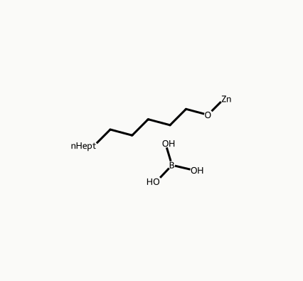 CCCCCCCCCCCC[O][Zn].OB(O)O